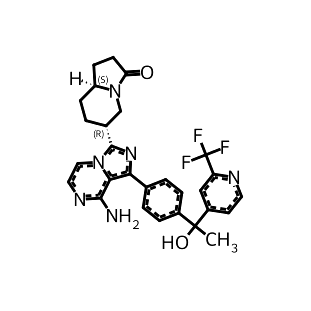 CC(O)(c1ccc(-c2nc([C@@H]3CC[C@H]4CCC(=O)N4C3)n3ccnc(N)c23)cc1)c1ccnc(C(F)(F)F)c1